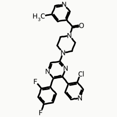 Cc1cncc(C(=O)N2CCN(c3cnc(-c4ccc(F)cc4F)c(-c4ccncc4Cl)n3)CC2)c1